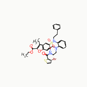 CCOC(=O)c1oc2ccc(S(=O)(=O)N(CCc3ccccc3)c3ccccc3N3CCN(C(=O)c4sccc4Br)CC3)cc2c1C